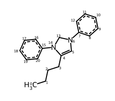 CCCCC1=CN(c2ccccc2)CN1c1ccccc1